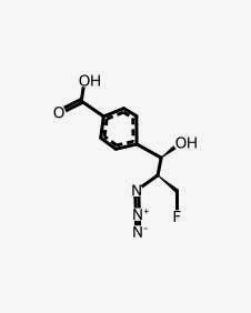 [N-]=[N+]=N[C@H](CF)[C@H](O)c1ccc(C(=O)O)cc1